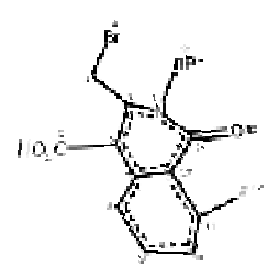 CCCn1c(CBr)c(C(=O)O)c2cccc(F)c2c1=O